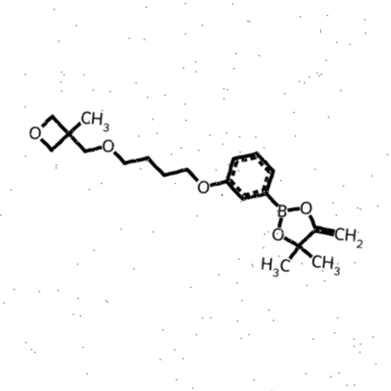 C=C1OB(c2cccc(OCCCCOCC3(C)COC3)c2)OC1(C)C